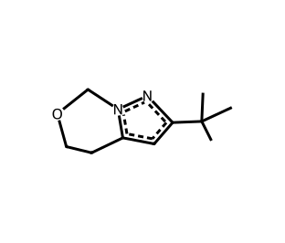 CC(C)(C)c1cc2n(n1)COCC2